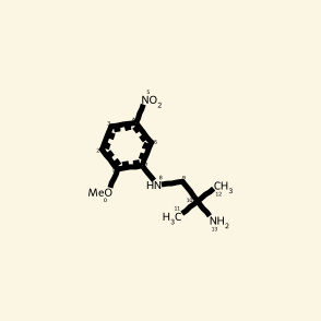 COc1ccc([N+](=O)[O-])cc1NCC(C)(C)N